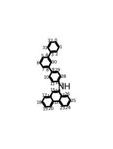 c1ccc(-c2cccc(-c3ccc(Nc4cc5ccccc5c5ccccc45)cc3)c2)cc1